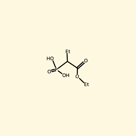 CCOC(=O)C(CC)P(=O)(O)O